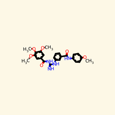 COc1ccc(NC(=O)c2cccc(NC(=N)NC(=O)c3cc(OC)c(OC)c(OC)c3)c2)cc1